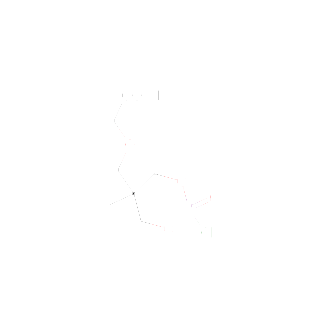 CC1(COCC(=O)O)COP(=O)(Cl)OC1